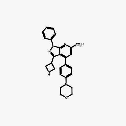 O=C(O)c1cc(-c2ccc(N3CCOCC3)cc2)c2c(C3CNC3)nn(-c3ccccc3)c2n1